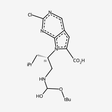 CC(C)C[C@@H](CNC(O)OC(C)(C)C)n1c(C(=O)O)cc2cnc(Cl)nc21